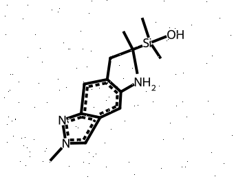 Cn1cc2cc(N)c(CC(C)(C)[Si](C)(C)O)cc2n1